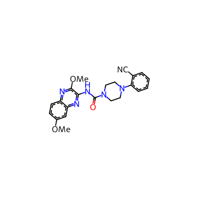 COc1ccc2nc(OC)c(NC(=O)N3CCN(c4ccccc4C#N)CC3)nc2c1